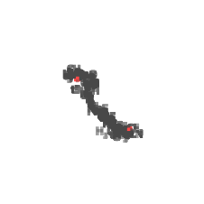 Cc1ncsc1-c1ccc(CNC(=O)[C@@H]2CCCN2C(=O)C(NC(=O)COCCC(F)(F)COc2ccc(-c3ncc(N4C(=S)N(c5ccc(C#N)c(C(F)(F)F)c5F)C(=O)C4(C)C)cc3F)cc2F)C(C)(C)C)cc1